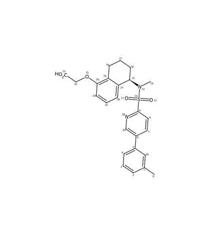 Cc1cccc(-c2ccc(S(=O)(=O)N(C)[C@@H]3CCCc4c(OCC(=O)O)cccc43)nc2)c1